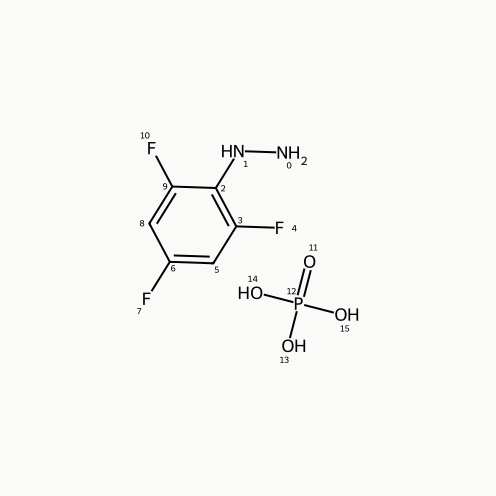 NNc1c(F)cc(F)cc1F.O=P(O)(O)O